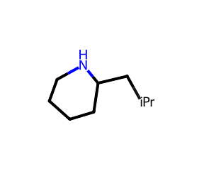 [CH2]C(C)CC1CCCCN1